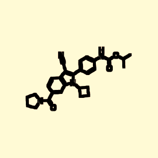 CC(C)OC(=O)Nc1ccc(-c2c(C#N)c3ccc(C(=O)N4CCCC4)cc3n2C2CCC2)cc1